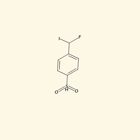 O=[SH](=O)c1ccc(C(F)I)cc1